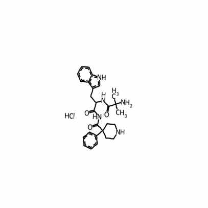 CC(C)(N)C(=O)NC(Cc1c[nH]c2ccccc12)C(=O)NC(=O)C1(c2ccccc2)CCNCC1.Cl